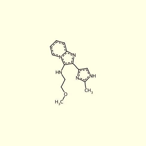 COCCNc1c(-c2c[nH]c(C)n2)nc2ccccn12